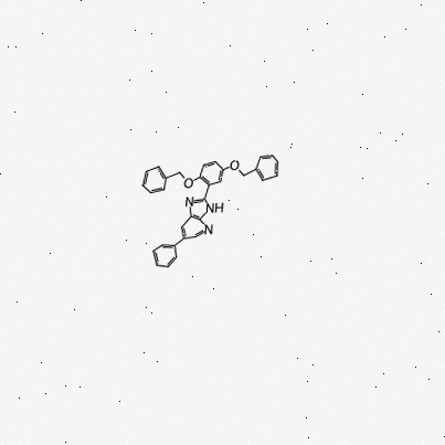 c1ccc(COc2ccc(OCc3ccccc3)c(-c3nc4cc(-c5ccccc5)cnc4[nH]3)c2)cc1